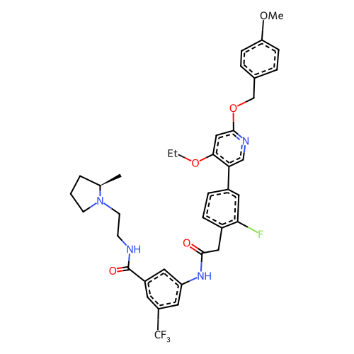 CCOc1cc(OCc2ccc(OC)cc2)ncc1-c1ccc(CC(=O)Nc2cc(C(=O)NCCN3CCC[C@H]3C)cc(C(F)(F)F)c2)c(F)c1